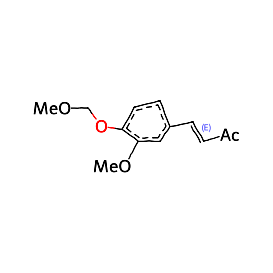 COCOc1ccc(/C=C/C(C)=O)cc1OC